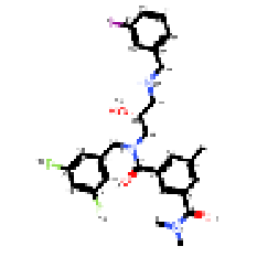 Cc1cc(C(=O)N(C)C)cc(C(=O)N(Cc2cc(F)cc(F)c2)C[C@H](O)CNCc2cccc(I)c2)c1